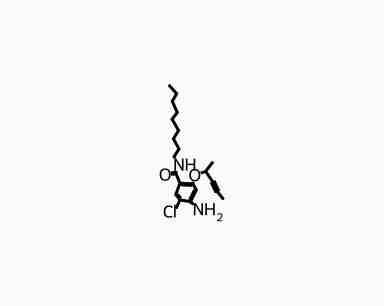 CC#CC(C)Oc1cc(N)c(Cl)cc1C(=O)NCCCCCCCCC